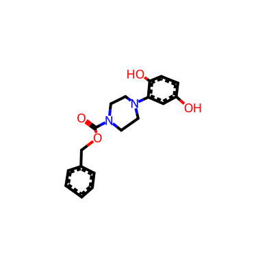 O=C(OCc1ccccc1)N1CCN(c2cc(O)ccc2O)CC1